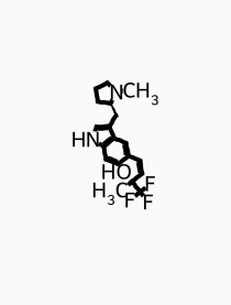 CN1CCC[C@@H]1Cc1c[nH]c2ccc(/C=C\C(C)(O)C(F)(F)F)cc12